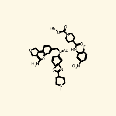 CC(=O)N(Cc1ccc2c3c(c(N)nc2c1)COC3)c1ccc2sc(C3CCNCC3)nc2c1.CC(C)(C)OC(=O)N1CCC(C(=O)Nc2cc([N+](=O)[O-])ccc2F)CC1